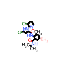 Bc1cc(C)c(NC(=O)c2cc(Cl)nn2-c2ncccc2Cl)c(C(=O)NC(C)C)c1